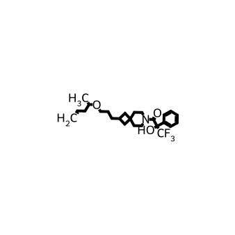 C=CCC(C)OCCCC1CC2(CCN(C(=O)C(O)(c3ccccc3)C(F)(F)F)CC2)C1